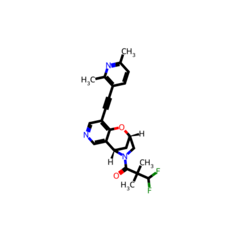 Cc1ccc(C#Cc2cncc3c2O[C@H]2C[C@@H]3N(C(=O)C(C)(C)C(F)F)C2)c(C)n1